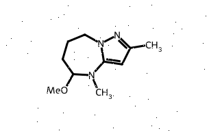 COC1CCCn2nc(C)cc2N1C